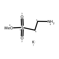 COS(=O)(=O)CCN.[K]